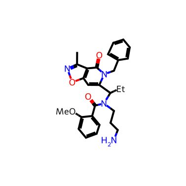 CCC(c1cc2onc(C)c2c(=O)n1Cc1ccccc1)N(CCCN)C(=O)c1ccccc1OC